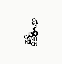 CC(C)c1c(-c2cccc(CCN3CCOCC3)c2)[nH]c2c(C#N)cnn2c1=O